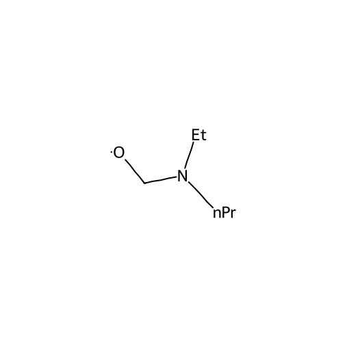 CCCN(CC)C[O]